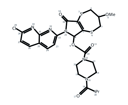 COC1CSC2=C(SC1)C(OC(=O)N1CCN(C(=O)C(C)C)CC1)N(c1ccc3ccc(Cl)nc3n1)C2=O